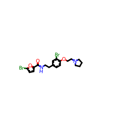 O=C(NCCc1ccc(OCCN2CCCC2)c(Br)c1)c1ccc(Br)o1